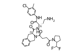 Cc1cc(NC(=O)[C@H](CCN)NC(=O)[C@@H]2Cc3ccccc3CN2C(=O)CCC(=O)N2CCCC2C(F)F)ccc1Cl